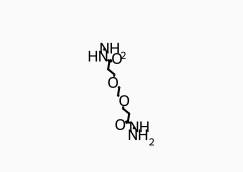 NNC(=O)CCOCCOCCC(=O)NN